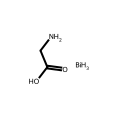 NCC(=O)O.[BiH3]